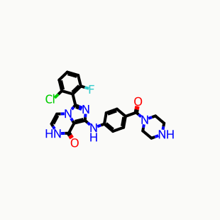 O=C(c1ccc(Nc2nc(-c3c(F)cccc3Cl)n3cc[nH]c(=O)c23)cc1)N1CCNCC1